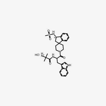 CC(C)(N)C(=O)NC(Cc1c[nH]c2ccccc12)C(=O)N1CCC2(CC1)C[C@@H](NS(C)(=O)=O)c1ccccc12.Cl